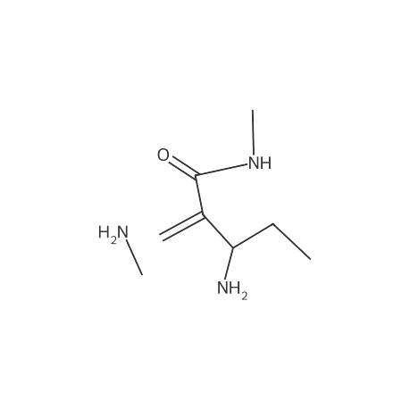 C=C(C(=O)NC)C(N)CC.CN